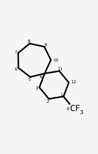 FC(F)(F)C1CCC2(CCCCCC2)CC1